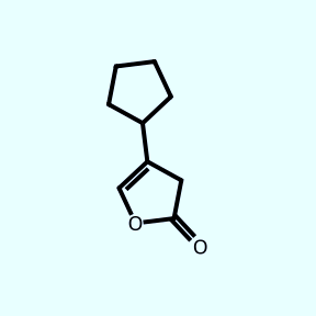 O=C1CC(C2CCCC2)=CO1